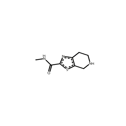 CNC(=O)c1nc2c(s1)CNCC2